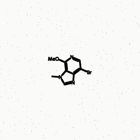 COc1ncc(Br)c2ncn(C)c12